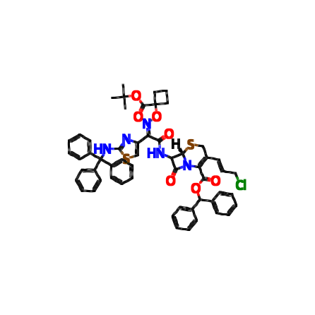 CC(C)(C)OC(=O)C1(O/N=C(\C(=O)NC2C(=O)N3C(C(=O)OC(c4ccccc4)c4ccccc4)=C(C=CCCl)CS[C@@H]23)c2csc(NC(c3ccccc3)(c3ccccc3)c3ccccc3)n2)CCC1